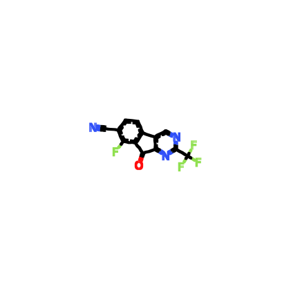 N#Cc1ccc2c(c1F)C(=O)c1nc(C(F)(F)F)ncc1-2